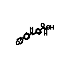 O=C(NO)c1ccc(CNc2ccc(N3CCOCC3)cc2)cc1